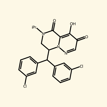 CC(C)N1CC(C(c2cccc(Cl)c2)c2cccc(Cl)c2)n2ncc(=O)c(O)c2C1=O